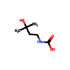 CC(C)(O)CCNC(=O)O